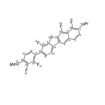 CCCc1ccc2cc3c(sc4c(F)c(-c5ccc(OC)c(F)c5F)ccc43)c(F)c2c1F